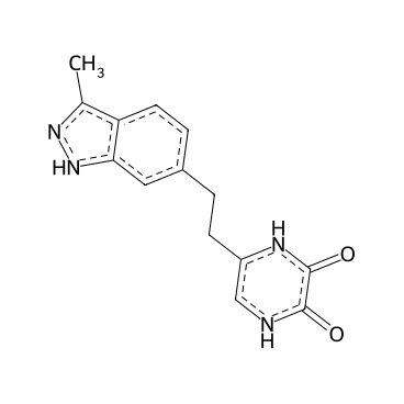 Cc1n[nH]c2cc(CCc3c[nH]c(=O)c(=O)[nH]3)ccc12